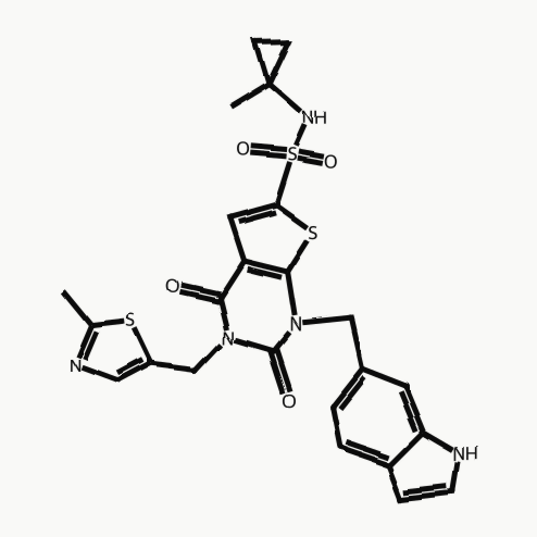 Cc1ncc(Cn2c(=O)c3cc(S(=O)(=O)NC4(C)CC4)sc3n(Cc3ccc4cc[nH]c4c3)c2=O)s1